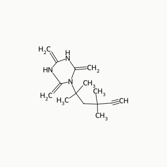 C#CC(C)(C)CC(C)(C)N1C(=C)NC(=C)NC1=C